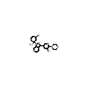 [2H]c1cc(-c2nn(C3(C)C=C(Br)C=CC3)c3cnccc23)cnc1N1CCOCC1